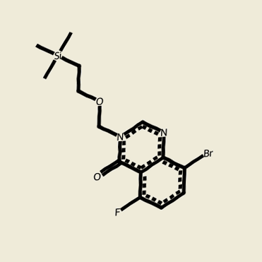 C[Si](C)(C)CCOCn1cnc2c(Br)ccc(F)c2c1=O